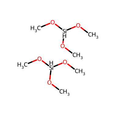 CO[SiH](OC)OC.CO[SiH](OC)OC